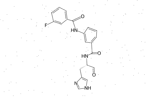 O=C[C@H](Cc1c[nH]cn1)NC(=O)c1cccc(NC(=O)c2cccc(F)c2)c1